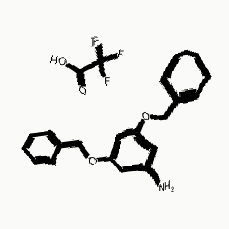 Nc1cc(OCc2ccccc2)cc(OCc2ccccc2)c1.O=C(O)C(F)(F)F